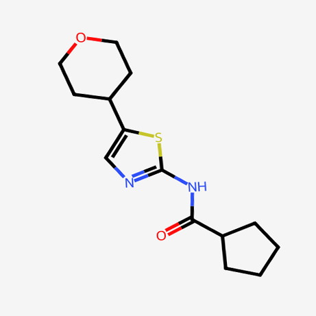 O=C(Nc1ncc(C2CCOCC2)s1)C1CCCC1